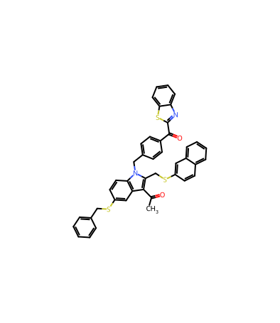 CC(=O)c1c(CSc2ccc3ccccc3c2)n(Cc2ccc(C(=O)c3nc4ccccc4s3)cc2)c2ccc(SCc3ccccc3)cc12